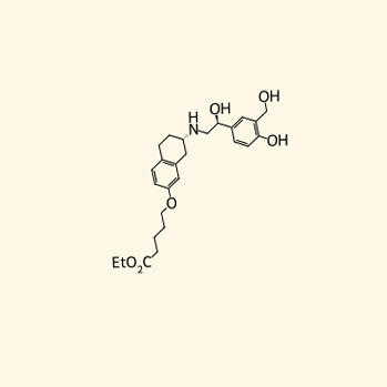 CCOC(=O)CCCCOc1ccc2c(c1)C[C@@H](NC[C@@H](O)c1ccc(O)c(CO)c1)CC2